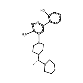 C[C@H](C1CCN(c2cc(-c3ccccc3O)nnc2N)CC1)N1CCOCC1